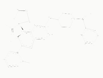 CC(=O)[C@]1(n2c(=O)c(-c3ccccc3C)cc3cnc(NC4CCN(C(=O)c5ccccc5)CC4)nc32)CCNC1